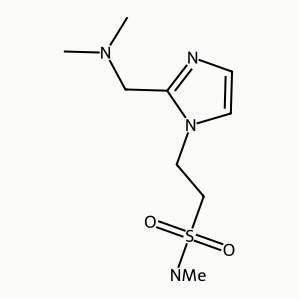 CNS(=O)(=O)CCn1ccnc1CN(C)C